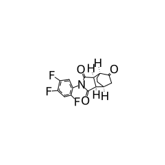 O=C1C[C@@H]2CC[C@H]1[C@@H]1C(=O)N(c3cc(F)c(F)cc3F)C(=O)[C@H]21